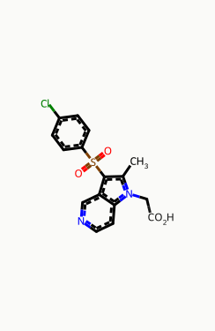 Cc1c(S(=O)(=O)c2ccc(Cl)cc2)c2cnccc2n1CC(=O)O